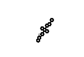 c1ccc(-c2ccc3cc(-c4c5ccccc5c(-c5ccc6c(c5)oc5cc7ccccc7cc56)c5ccccc45)ccc3c2)cc1